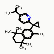 C=C(C)c1ccc(C2(c3cc4c(cc3C)C(C)(C)CCC4(C)C)CC2)nc1